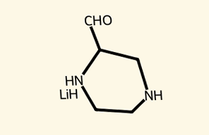 O=CC1CNCCN1.[LiH]